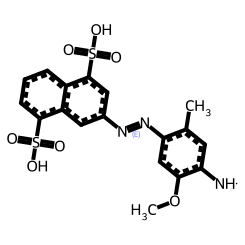 COc1cc(/N=N/c2cc(S(=O)(=O)O)c3cccc(S(=O)(=O)O)c3c2)c(C)cc1[NH]